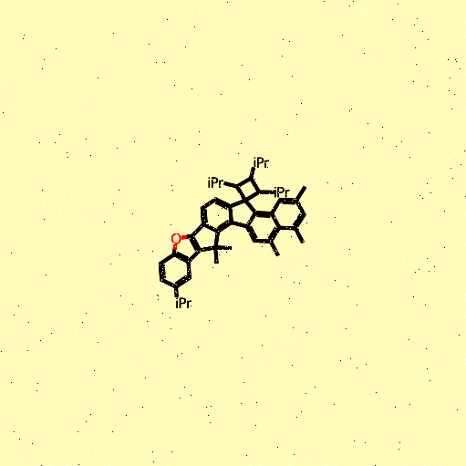 Cc1cc(C)c2c(C)cc3c(c2c1)C1(c2ccc4c(c2-3)C(C)(C)c2c-4oc3ccc(C(C)C)cc23)C(C(C)C)C(C(C)C)C1C(C)C